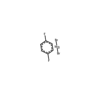 Fc1[c]cc(F)cc1.[Br][Mg][Br]